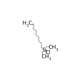 C=CCCCCCCC[Si](Cl)(CC)CC